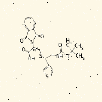 CC(C)(C)OC(=O)NCC(SC[C@@H](C(=O)O)N1C(=O)c2ccccc2C1=O)c1ccsc1